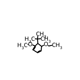 CCOC1C=CC=C(OC)C1C(C)(C)C